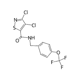 O=C(NCc1ccc(OC(F)(F)F)cc1)c1snc(Cl)c1Cl